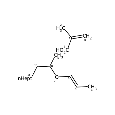 C=C(C)C(=O)O.CC=COC(C)CCCCCCCC